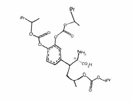 CC(C)OC(=O)OC(C)CC(c1ccc(OC(=O)OC(C)C(C)C)c(OC(=O)OC(C)C(C)C)c1)[C@H](N)C(=O)O